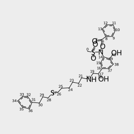 CS(=O)(=O)N(OC(=O)c1ccccc1)c1cc(C(O)CNCCCCCCSCCCc2ccccc2)ccc1O